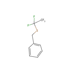 FC(F)(F)C(F)(F)SCc1ccccc1